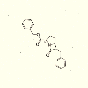 O=C(OCc1ccccc1)[C@@H]1CCC2C(Cc3ccccc3)C(=O)N21